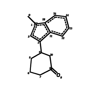 Cn1cc(C2CCCC(=O)C2)c2ccccc21